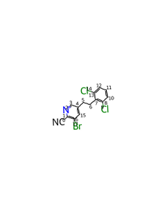 N#Cc1ncc(CCc2c(Cl)cccc2Cl)cc1Br